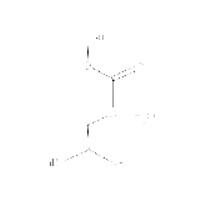 CCCCC(CC)COC(=O)OC(C)(C)C.O